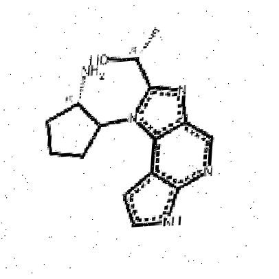 C[C@@H](O)c1nc2cnc3[nH]ccc3c2n1C1CCC[C@@H]1N